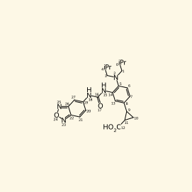 CC(C)CN(CC(C)C)c1ccc(C2CC2C(=O)O)cc1NC(=O)Nc1ccc2nonc2c1